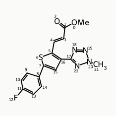 COC(=O)/C=C/c1sc(-c2ccc(F)cc2)cc1-c1nnn(C)n1